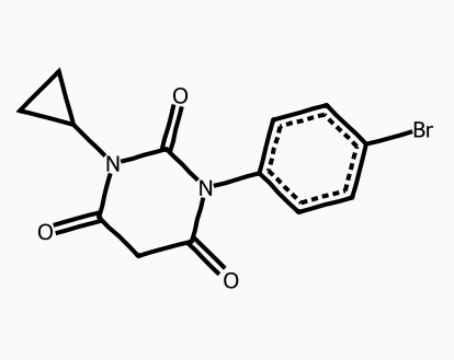 O=C1CC(=O)N(C2CC2)C(=O)N1c1ccc(Br)cc1